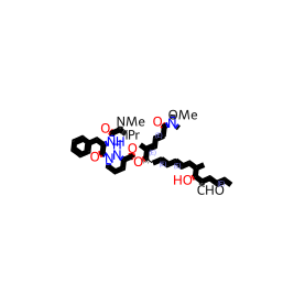 C/C=C/CC(C=O)C(O)C(C)C/C=C/C=C/C[C@H](OC(=O)C1CCCN(C(=O)C(Cc2ccccc2)NC(=O)C(NC)C(C)C)N1)/C(C)=C/C=C/C(=O)N(C)OC